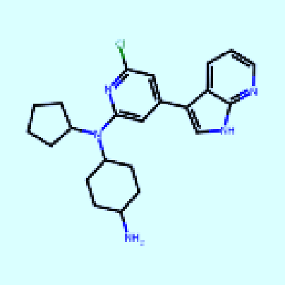 NC1CCC(N(c2cc(-c3c[nH]c4ncccc34)cc(Cl)n2)C2CCCC2)CC1